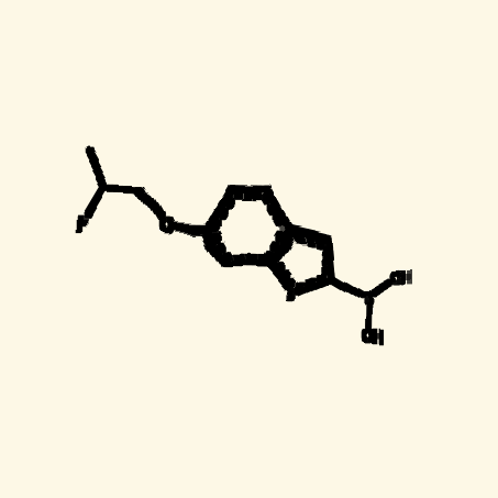 CC(F)COc1ccc2cc(B(O)O)sc2c1